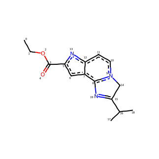 CCOC(=O)c1cc2c3n(ccc-2n1)CC(C(C)C)=N3